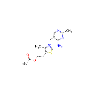 CCCCC(=O)OCCc1sc[n+](Cc2cnc(C)nc2N)c1C